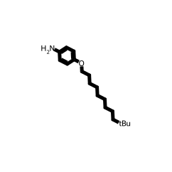 CC(C)(C)CCCCCCCCCOc1ccc(N)cc1